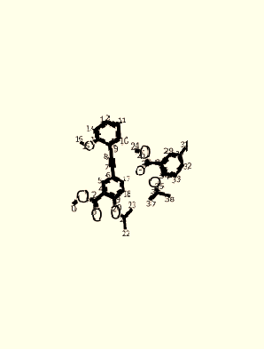 COC(=O)c1cc(C#Cc2ccccc2OC)ccc1OC(C)C.COC(=O)c1cc(I)ccc1OC(C)C